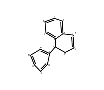 C1=Nc2ccccc2C(c2ccccc2)C1